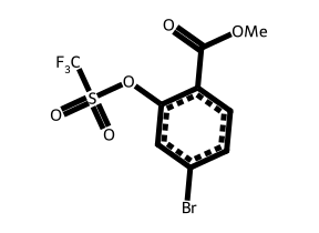 COC(=O)c1ccc(Br)cc1OS(=O)(=O)C(F)(F)F